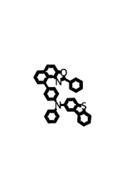 c1ccc(-c2nc3c(ccc4cccc(-c5ccc(N(c6ccccc6)c6ccc7sc8ccccc8c7c6)cc5)c43)o2)cc1